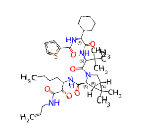 C=CCNC(=O)C(=O)C(CCCC)NC(=O)[C@@H]1[C@@H]2[C@H](CN1C(=O)[C@@H](NC(=O)[C@@H](NC(=O)c1cccs1)C1CCCCC1)C(C)(C)C)C2(C)C